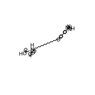 CC(C)(C)OC(=O)[C@H](CCC(=O)O)NC(=O)CCCCCCCCCCCCCCCOc1ccc(-c2ccc(-c3nnn[nH]3)cc2)cc1